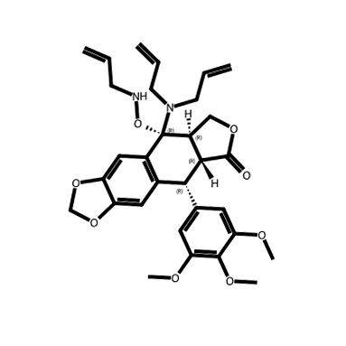 C=CCNO[C@@]1(N(CC=C)CC=C)c2cc3c(cc2[C@@H](c2cc(OC)c(OC)c(OC)c2)[C@H]2C(=O)OC[C@@H]21)OCO3